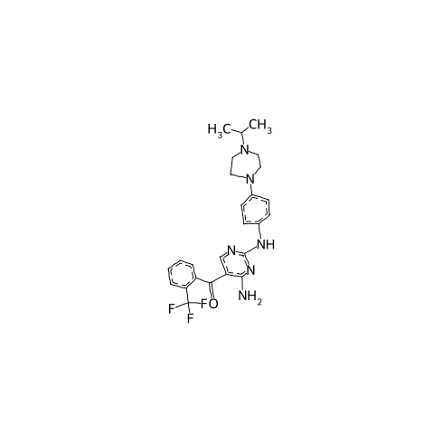 CC(C)N1CCN(c2ccc(Nc3ncc(C(=O)c4ccccc4C(F)(F)F)c(N)n3)cc2)CC1